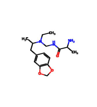 CCN(CNC(=O)C(C)N)C(C)Cc1ccc2c(c1)OCO2